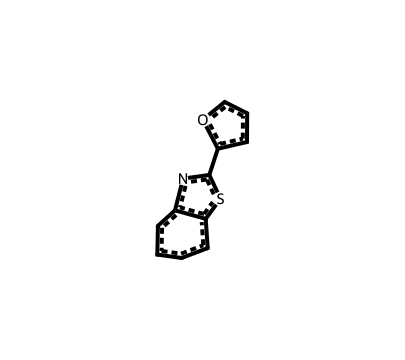 c1coc(-c2nc3ccccc3s2)c1